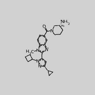 Cn1c(-c2cc(C3CC3)nn2C2CCC2)nc2cc(C(=O)N3CCC[C@@H](N)C3)ccc21